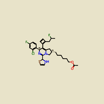 CC(=O)OCCCCCC[C@H]1CC2=C(C3=C(CC(C)F)C=C3)[C@H](c3ccc(F)cc3Cl)N=C(C3NC=CS3)N2C1